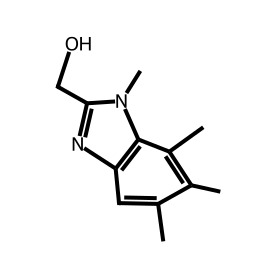 Cc1cc2nc(CO)n(C)c2c(C)c1C